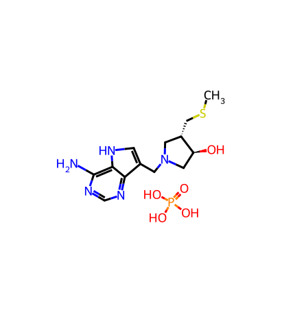 CSC[C@H]1CN(Cc2c[nH]c3c(N)ncnc23)C[C@@H]1O.O=P(O)(O)O